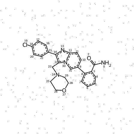 NC(=O)c1ccccc1-c1ccc2nc(-c3ccc(Cl)cc3)c(CN3CCOCC3)n2c1